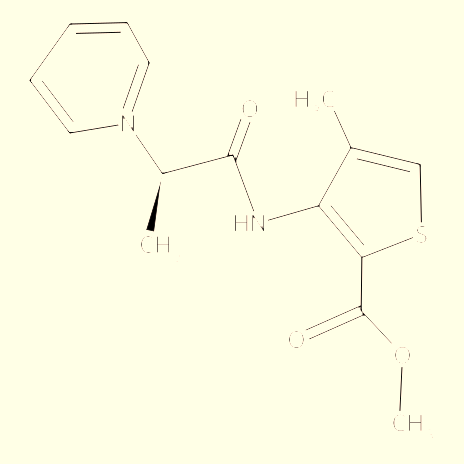 COC(=O)c1scc(C)c1NC(=O)[C@@H](C)[n+]1ccccc1